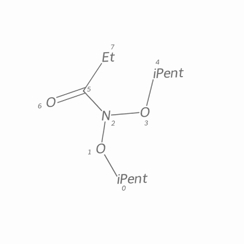 CCCC(C)ON(OC(C)CCC)C(=O)CC